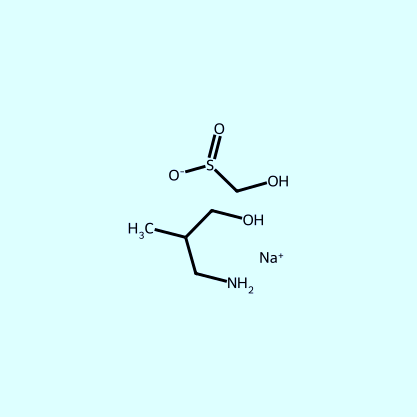 CC(CN)CO.O=S([O-])CO.[Na+]